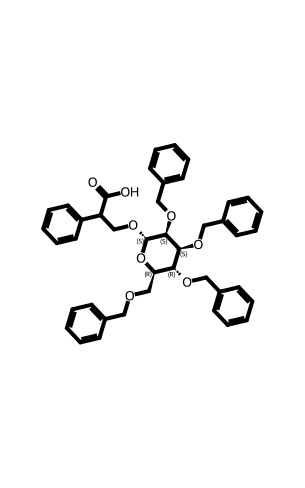 O=C(O)C(CO[C@H]1O[C@H](COCc2ccccc2)[C@@H](OCc2ccccc2)[C@H](OCc2ccccc2)[C@@H]1OCc1ccccc1)c1ccccc1